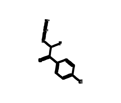 [N-]=[N+]=NC(F)C(=O)c1ccc(Cl)cc1